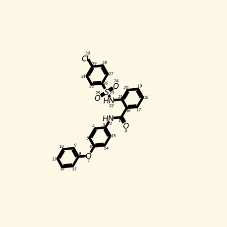 O=C(Nc1ccc(Oc2ccccc2)cc1)c1ccccc1NS(=O)(=O)c1ccc(Cl)cc1